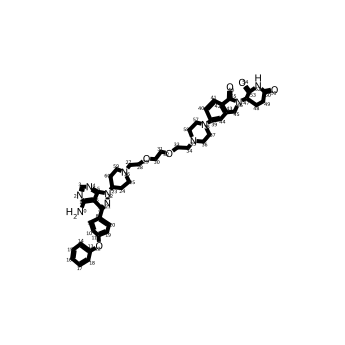 Nc1ncnc2c1c(-c1ccc(Oc3ccccc3)cc1)nn2C1CCN(CCOCCOCCN2CCN(c3ccc4c(c3)CN(C3CCC(=O)NC3=O)C4=O)CC2)CC1